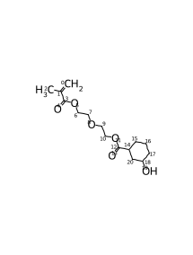 C=C(C)C(=O)OCCOCCOC(=O)C1CCCC(O)C1